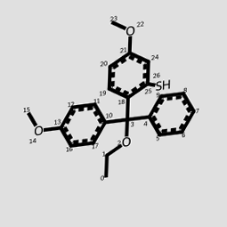 CCOC(c1ccccc1)(c1ccc(OC)cc1)c1ccc(OC)cc1S